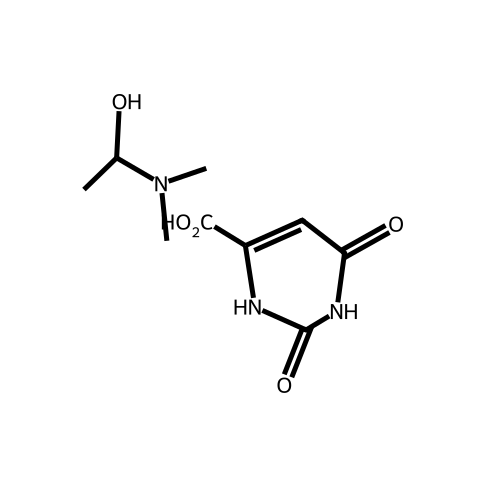 CC(O)N(C)C.O=C(O)c1cc(=O)[nH]c(=O)[nH]1